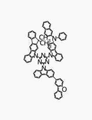 CC1(C)c2ccccc2-c2cc3c4ccccc4n(-c4nc(-n5c6ccccc6c6cc(-c7ccc8oc9ccccc9c8c7)ccc65)nc(-n5c6ccccc6c6cc(N(c7ccccc7)c7ccc8ccccc8c7)ccc65)n4)c3cc21